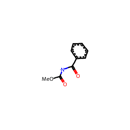 COC(=O)[N]C(=O)c1ccccc1